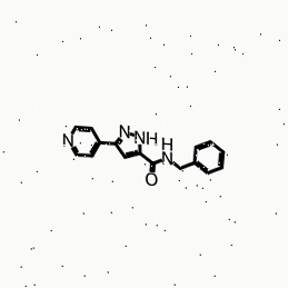 O=C(NCc1ccccc1)c1cc(-c2ccncc2)n[nH]1